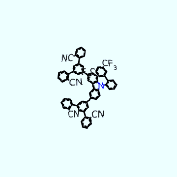 N#Cc1ccccc1-c1cc(-c2ccc3c(c2)c2cc(-c4cc(-c5ccccc5C#N)cc(-c5ccccc5C#N)c4)ccc2n3-c2ccccc2-c2cc(C(F)(F)F)cc(C(F)(F)F)c2)cc(-c2ccccc2C#N)c1